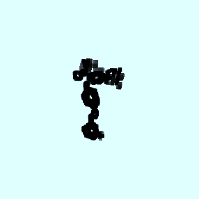 CC1(C)C[C@@H](C(N)=O)N(Cc2ccc(OCc3cccc(F)c3)cc2)C1